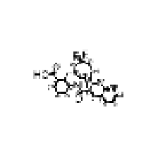 Cc1c(NC(=O)c2cc3cccnc3nc2N2CCCC(F)(F)CC2)cccc1C(=O)O